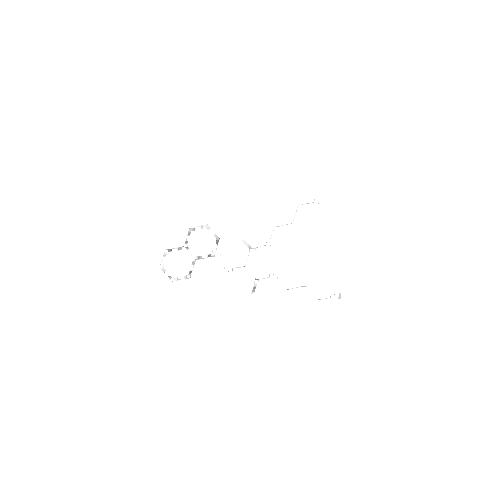 NCCCNC(=O)C(Nc1cccc2ccccc12)C(=O)NCCCN